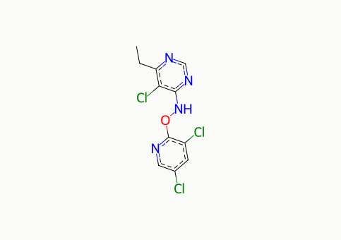 CCc1ncnc(NOc2ncc(Cl)cc2Cl)c1Cl